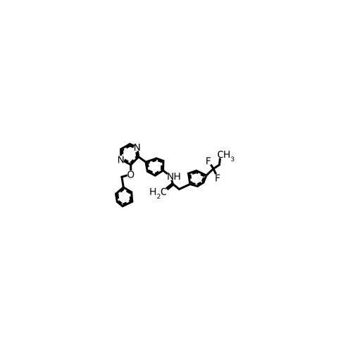 C=C(Cc1ccc(C(F)(F)CC)cc1)Nc1ccc(-c2nccnc2OCc2ccccc2)cc1